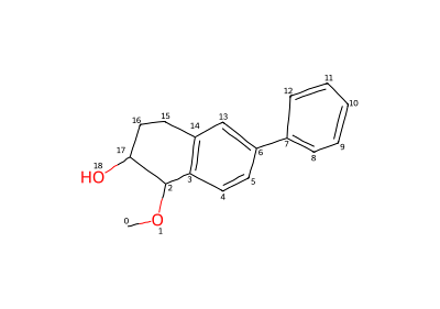 COC1c2ccc(-c3ccccc3)cc2CCC1O